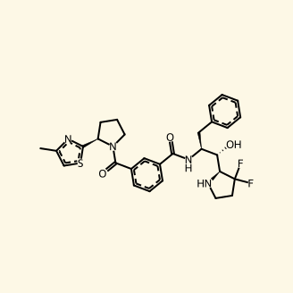 Cc1csc([C@H]2CCCN2C(=O)c2cccc(C(=O)N[C@@H](Cc3ccccc3)[C@H](O)[C@@H]3NCCC3(F)F)c2)n1